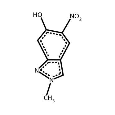 Cn1cc2cc([N+](=O)[O-])c(O)cc2n1